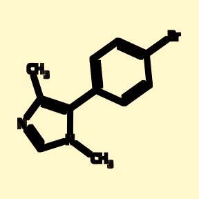 Cc1ncn(C)c1-c1ccc(Br)cc1